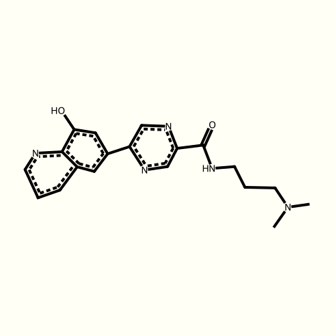 CN(C)CCCNC(=O)c1cnc(-c2cc(O)c3ncccc3c2)cn1